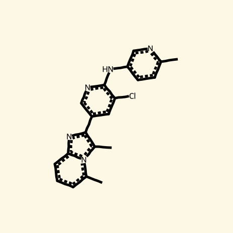 Cc1ccc(Nc2ncc(-c3nc4cccc(C)n4c3C)cc2Cl)cn1